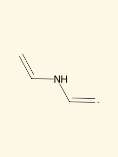 [CH]=CNC=C